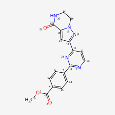 COC(=O)c1ccc(-c2nccc(-c3cc4n(n3)CCNC4=O)n2)cc1